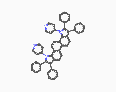 c1ccc(-c2c(-c3ccccc3)n(-c3ccncc3)c3c2ccc2c4ccc5c(-c6ccccc6)c(-c6ccccc6)n(-c6ccncc6)c5c4ccc23)cc1